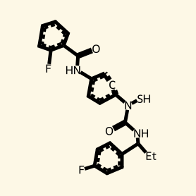 CCC(NC(=O)N(S)c1ccc(NC(=O)c2ccccc2F)cc1)c1ccc(F)cc1